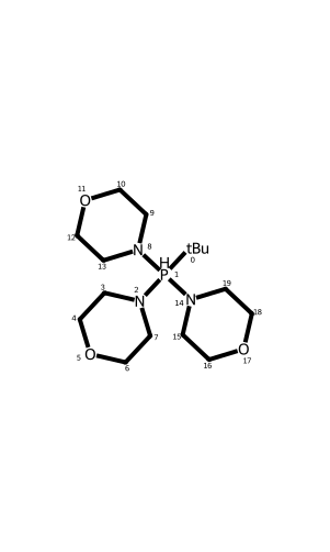 CC(C)(C)[PH](N1CCOCC1)(N1CCOCC1)N1CCOCC1